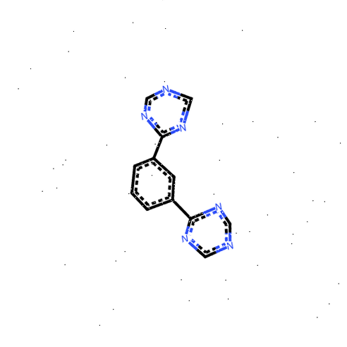 [c]1cc(-c2ncncn2)cc(-c2ncncn2)c1